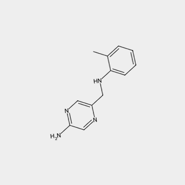 Cc1ccccc1NCc1cnc(N)cn1